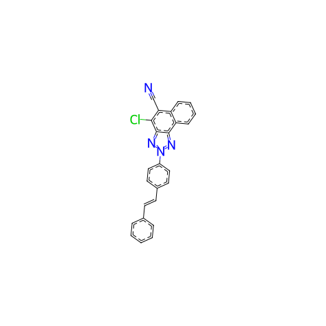 N#Cc1c(Cl)c2nn(-c3ccc(C=Cc4ccccc4)cc3)nc2c2ccccc12